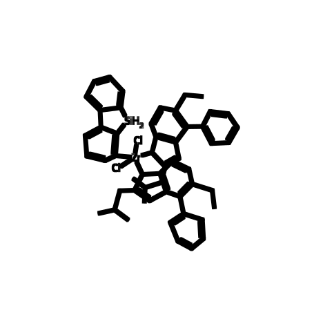 CCc1ccc2c(c1-c1ccccc1)C=C(CC(C)C)[CH]2[Zr]([Cl])([Cl])([c]1cccc2c1[SiH2]c1ccccc1-2)[CH]1C(CC(C)C)=Cc2c1ccc(CC)c2-c1ccccc1